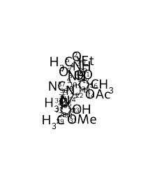 CCC(=O)N[C@@H](C)C(=O)NC[C@H]1c2c(c(OC(C)=O)c(C)c3c2OCO3)CC2C3c4c(cc(C)c(OC)c4O)CC([C@H](C#N)N21)N3C